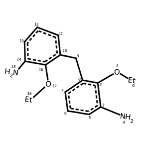 CCOc1c(N)cccc1Cc1cccc(N)c1OCC